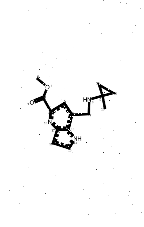 COC(=O)c1cc(CNC2(C)CC2)c2[nH]ccc2n1